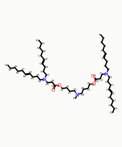 CCCCC/C=C/CCCN(CCC/C=C/CCCCC)CCC(=O)OCCCCN(C)CCCCOC(=O)CCN(CCC/C=C/CCCCC)CCC/C=C/CCCCC